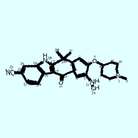 CN1CCC(Oc2cc3c(cc2NS)C(=O)c2c([nH]c4cc(C#N)ccc24)C3(C)C)CC1